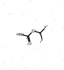 [NH]C(=O)OC(F)F